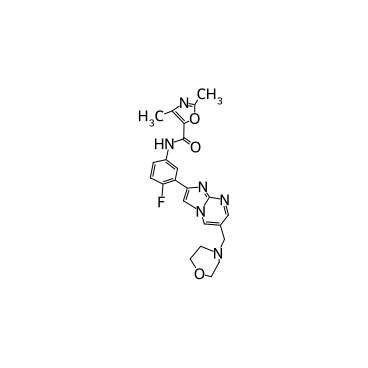 Cc1nc(C)c(C(=O)Nc2ccc(F)c(-c3cn4cc(CN5CCOCC5)cnc4n3)c2)o1